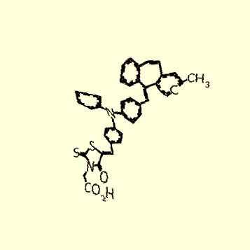 Cc1ccc2c(c1)C=Cc1ccccc1C2=Cc1ccc(N(c2ccccc2)c2ccc(/C=C3\SC(=S)N(CC(=O)O)C3=O)cc2)cc1